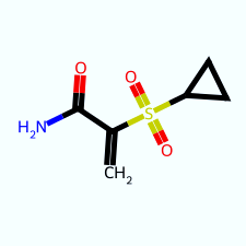 C=C(C(N)=O)S(=O)(=O)C1CC1